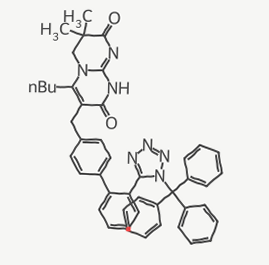 CCCCC1=C(Cc2ccc(-c3ccccc3-c3nnnn3C(c3ccccc3)(c3ccccc3)c3ccccc3)cc2)C(=O)NC2=NC(=O)C(C)(C)CN21